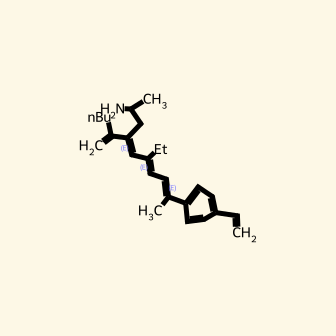 C=Cc1ccc(/C(C)=C/C=C(/C=C(\CC(C)N)C(=C)CCCC)CC)cc1